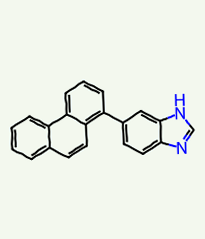 c1ccc2c(c1)ccc1c(-c3ccc4nc[nH]c4c3)cccc12